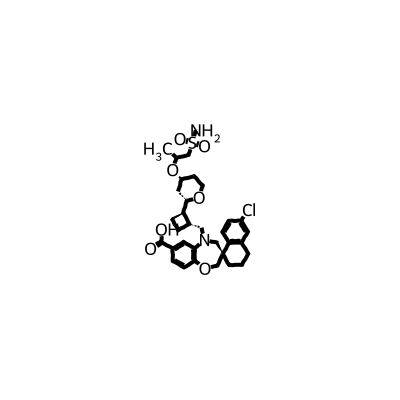 CC(CS(N)(=O)=O)O[C@@H]1CCO[C@H]([C@@H]2CC[C@H]2CN2C[C@@]3(CCCc4cc(Cl)ccc43)COc3ccc(C(=O)O)cc32)C1